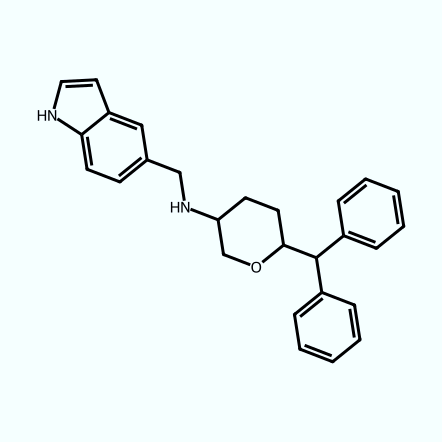 c1ccc(C(c2ccccc2)C2CCC(NCc3ccc4[nH]ccc4c3)CO2)cc1